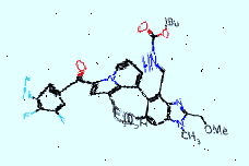 COCc1nc2c(CNC(=O)OC(C)(C)C)c(-c3cccn4c(C(=O)c5cc(F)c(F)c(F)c5)cc(C(=O)O)c34)c(C(F)(F)F)cc2n1C